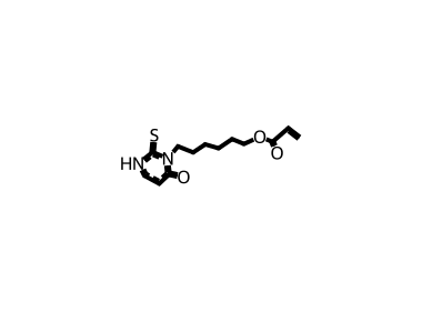 C=CC(=O)OCCCCCCn1c(=O)cc[nH]c1=S